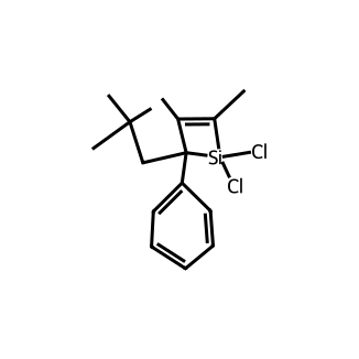 CC1=C(C)[Si](Cl)(Cl)C1(CC(C)(C)C)c1ccccc1